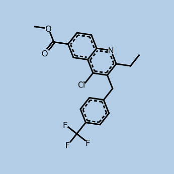 CCc1nc2ccc(C(=O)OC)cc2c(Cl)c1Cc1ccc(C(F)(F)F)cc1